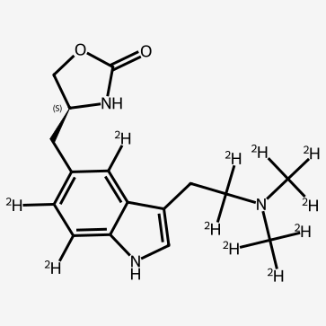 [2H]c1c(C[C@H]2COC(=O)N2)c([2H])c2c(CC([2H])([2H])N(C([2H])([2H])[2H])C([2H])([2H])[2H])c[nH]c2c1[2H]